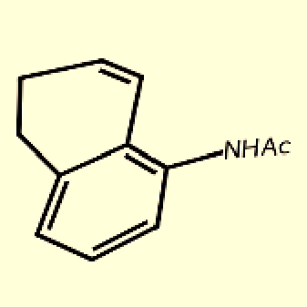 CC(=O)Nc1cccc2c1C=CCC2